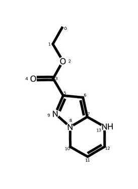 CCOC(=O)c1cc2n(n1)CC=CN2